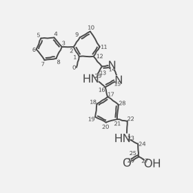 Cc1c(-c2ccccc2)cccc1-c1nnc(-c2cccc(CNCC(=O)O)c2)[nH]1